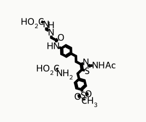 CC(=O)Nc1nc(CCc2ccc(NC(=O)CNC=NC(=O)O)cc2)c(Cc2ccc(S(C)(=O)=O)cc2)s1.NC(=O)O